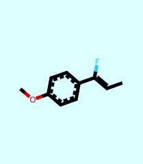 C/C=C(\F)c1ccc(OC)cc1